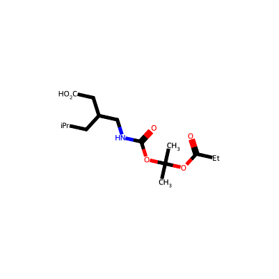 CCC(=O)OC(C)(C)OC(=O)NCC(CC(=O)O)CC(C)C